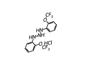 Cl.FC(F)(F)Oc1ccccc1NNNc1ccccc1OC(F)(F)F